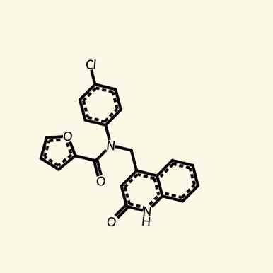 O=C(c1ccco1)N(Cc1cc(=O)[nH]c2ccccc12)c1ccc(Cl)cc1